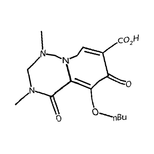 CCCCOc1c2n(cc(C(=O)O)c1=O)N(C)CN(C)C2=O